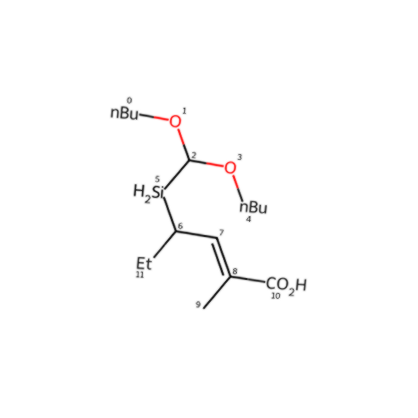 CCCCOC(OCCCC)[SiH2]C(C=C(C)C(=O)O)CC